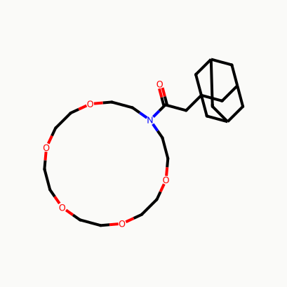 O=C(CC12CC3CC(CC(C3)C1)C2)N1CCOCCOCCOCCOCCOCC1